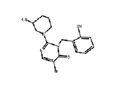 N#Cc1ccccc1Cn1c(N2CCCC(N)C2)ncc(Br)c1=O